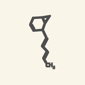 CC=CC=CC1C=CCC2CC12